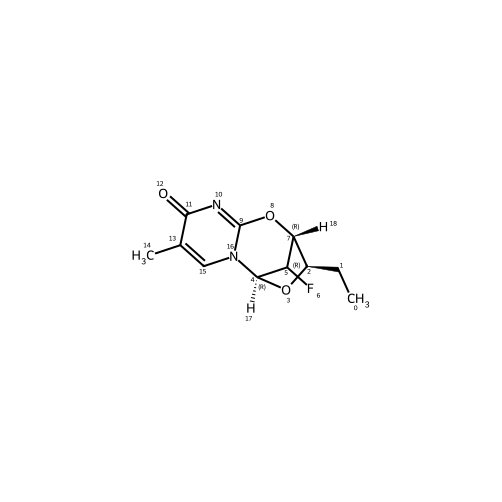 CC[C@H]1O[C@@H]2C(F)[C@@H]1Oc1nc(=O)c(C)cn12